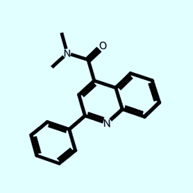 CN(C)C(=O)c1cc(-c2ccccc2)nc2ccccc12